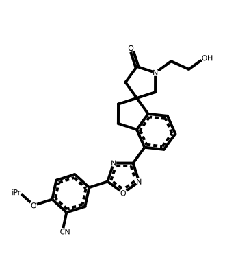 CC(C)Oc1ccc(-c2nc(-c3cccc4c3CCC43CC(=O)N(CCO)C3)no2)cc1C#N